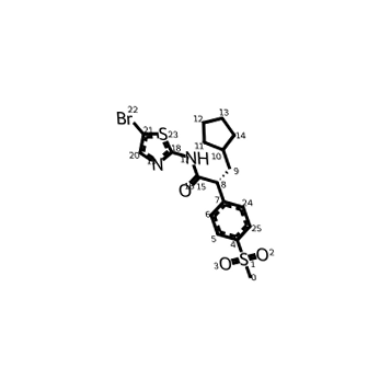 CS(=O)(=O)c1ccc([C@@H](CC2CCCC2)C(=O)Nc2ncc(Br)s2)cc1